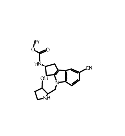 CC(C)OC(=O)N[C@H]1Cc2c(n(CC3NCCC3O)c3ccc(C#N)cc23)C1